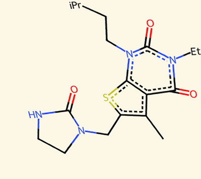 CCn1c(=O)c2c(C)c(CN3CCNC3=O)sc2n(CCC(C)C)c1=O